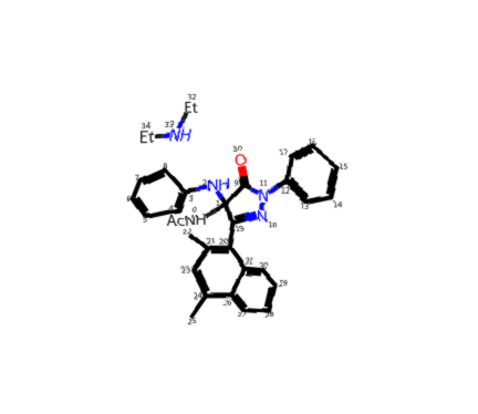 CC(=O)NC1(Nc2ccccc2)C(=O)N(c2ccccc2)N=C1c1c(C)cc(C)c2ccccc12.CCNCC